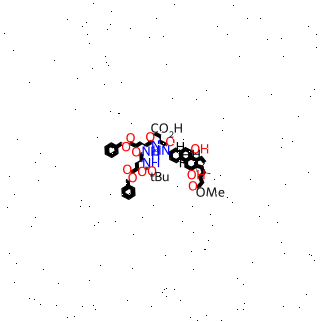 COC(=O)CC[C@@H](C)[C@H]1CC[C@H]2[C@@H]3[C@H](O)C[C@@H]4C[C@@H](NC(=O)[C@H](CCC(=O)O)NC(=O)[C@H](CCC(=O)OCc5ccccc5)NC(=O)[C@H](CCC(=O)OCc5ccccc5)NC(=O)OC(C)(C)C)CC[C@]4(C)[C@H]3C[C@H](O)[C@]12C